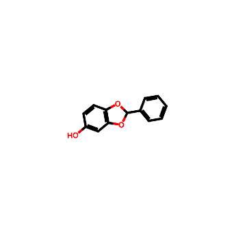 Oc1ccc2c(c1)OC(c1ccccc1)O2